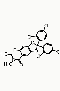 CCN(C)C(=O)c1cc2c(cc1F)OC(c1ccc(Cl)cc1Cl)(c1ccc(Cl)cc1Cl)O2